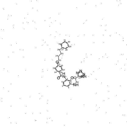 O=C(Nc1cccc2c1OC(c1nnn[nH]1)CN2)c1ccc(OCCCCc2ccccc2)cc1